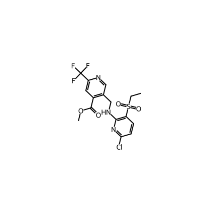 CCS(=O)(=O)c1ccc(Cl)nc1NCc1cnc(C(F)(F)F)cc1C(=O)OC